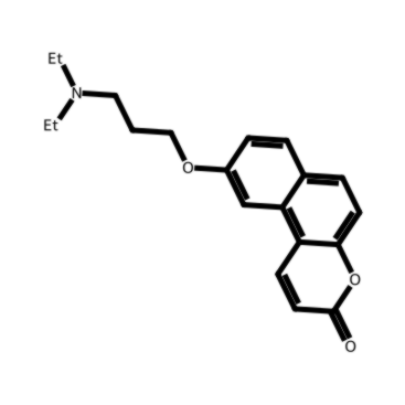 CCN(CC)CCCOc1ccc2ccc3oc(=O)ccc3c2c1